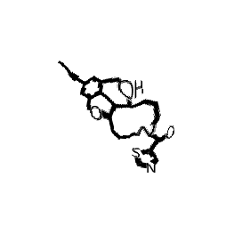 CC#Cc1cc(C)c(C2C(=O)CCCN(C(=O)c3cncs3)CCCC2O)c(C)c1